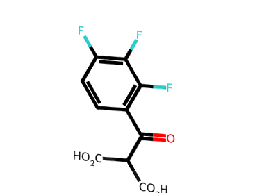 O=C(O)C(C(=O)O)C(=O)c1ccc(F)c(F)c1F